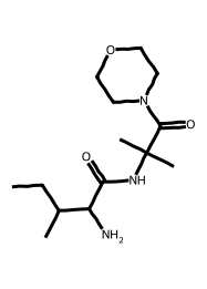 CCC(C)C(N)C(=O)NC(C)(C)C(=O)N1CCOCC1